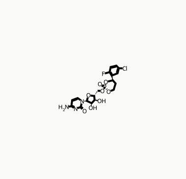 Nc1ccn([C@@H]2O[C@H](COP3(=O)OCC[C@H](c4cc(Cl)ccc4F)O3)[C@@H](O)[C@@H]2O)c(=O)n1